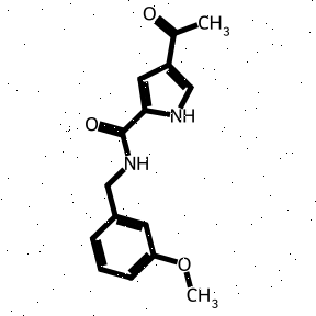 COc1cccc(CNC(=O)c2cc(C(C)=O)c[nH]2)c1